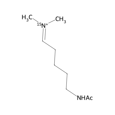 CC(=O)NCCCCC=[15N+](C)C